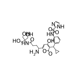 NC(CCC(=O)NC(CO)(CO)CO)c1cc(O)c(C(c2cccc(NS(=O)(=O)c3ncc[nH]3)c2)C2CC2)c(=O)o1